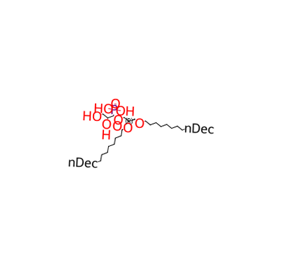 CCCCCCCCCCCCCCCCCCOC[C@H](COC(C(O)CO)P(=O)(O)O)OC(=O)CCCCCCCCCCCCCCCCC